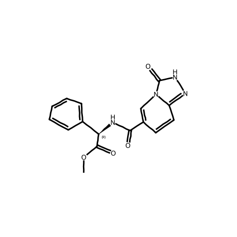 COC(=O)[C@H](NC(=O)c1ccc2n[nH]c(=O)n2c1)c1ccccc1